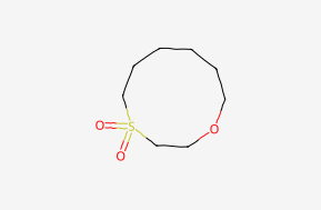 O=S1(=O)CCCCCCOCC1